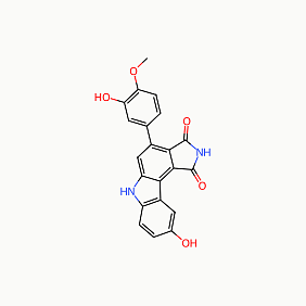 COc1ccc(-c2cc3[nH]c4ccc(O)cc4c3c3c2C(=O)NC3=O)cc1O